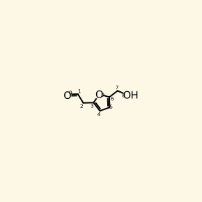 O=CCc1ccc(CO)o1